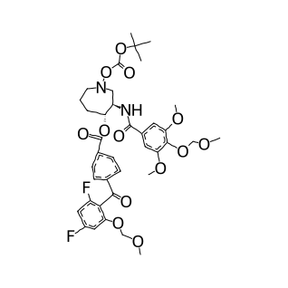 COCOc1cc(F)cc(F)c1C(=O)c1ccc(C(=O)O[C@@H]2CCCN(OC(=O)OC(C)(C)C)C[C@H]2NC(=O)c2cc(OC)c(OCOC)c(OC)c2)cc1